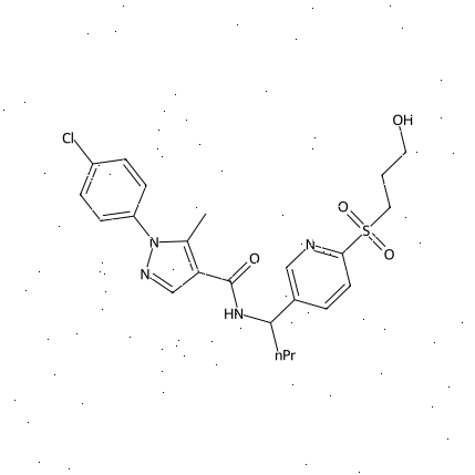 CCCC(NC(=O)c1cnn(-c2ccc(Cl)cc2)c1C)c1ccc(S(=O)(=O)CCCO)nc1